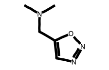 CN(C)Cc1cnno1